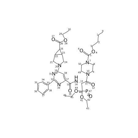 CCCCOC(=O)N1CCN(C(=O)[C@@H](NC(=O)c2cc(N3CC4C(C3)C4C(=O)OCC)nc(-c3ccccc3)n2)C(OCC)(OCC)P=O)CC1